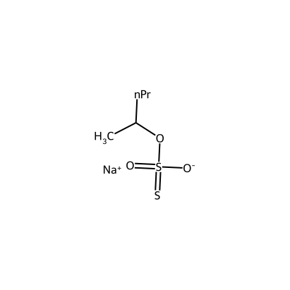 CCCC(C)OS(=O)([O-])=S.[Na+]